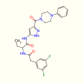 CCC(NC(=O)Cc1cc(F)cc(F)c1)C(=O)Nc1cc(C(=O)N2CCN(c3ccccc3)CC2)n[nH]1